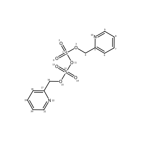 O=S(=O)(OCc1ccccn1)OS(=O)(=O)OCc1ccccn1